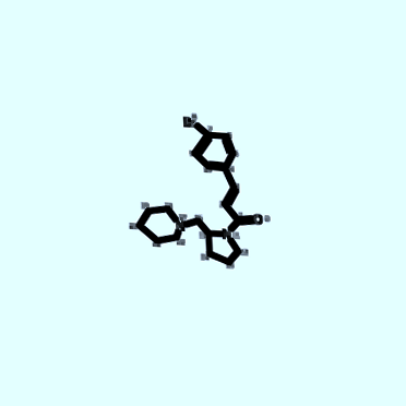 O=C(C=Cc1ccc(Br)cc1)N1CCCC1CN1CCCCC1